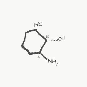 Cl.N[C@H]1CCCC[C@@H]1O